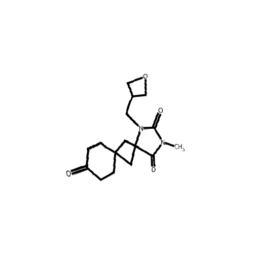 CN1C(=O)N(CC2COC2)C2(CC3(CCC(=O)CC3)C2)C1=O